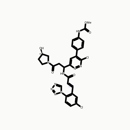 COC(=O)Nc1ccc(-c2cc(C(CC(=O)N3CC[C@@H](O)C3)NC(=O)/C=C/c3cc(Cl)ccc3-n3cnnn3)nnc2Cl)cc1